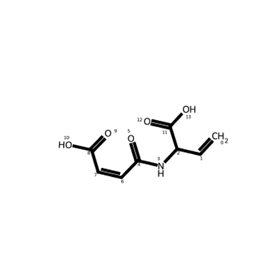 C=CC(NC(=O)/C=C\C(=O)O)C(=O)O